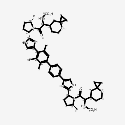 Cc1cc(-c2ccc(-c3c[nH]c([C@@H]4CC[C@H](C)N4C(=O)C(NC(=O)O)C4CCOC5(CC5)C4)n3)cc2)c(C)c(F)c1-c1c[nH]c([C@@H]2CC[C@H](C)N2C(=O)C(NC(=O)O)C2CCOC3(CC3)C2)n1